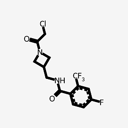 O=C(NCC1CN(C(=O)CCl)C1)c1ccc(F)cc1C(F)(F)F